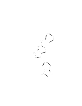 Fc1cnc2ccc(-c3c[nH]c4nc(Nc5ccncc5)ncc34)cn12